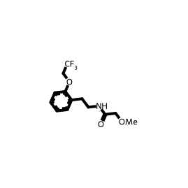 COCC(=O)NCCc1ccccc1OCC(F)(F)F